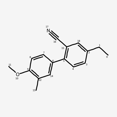 CCc1ccc(-c2ccc(OC)c(C)c2)c(C#N)c1